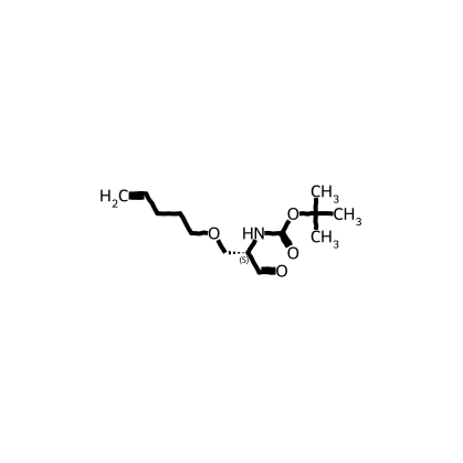 C=CCCCOC[C@@H](C=O)NC(=O)OC(C)(C)C